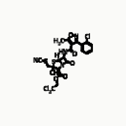 Cc1onc(-c2ccccc2Cl)c1C(=O)NC1C(=O)N2C(C(=O)OCC(Cl)(Cl)Cl)C(C)(CSC#N)S[C@@H]12